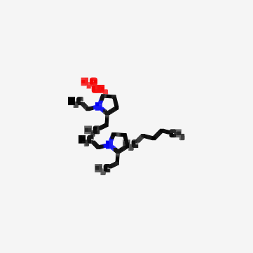 CCC1CCCN1CC.CCC1CCCN1CC.CCCCC.O.O